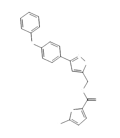 O=C(NCc1cc(-c2ccc(Nc3ccccc3)cc2)no1)c1ccc(Cl)s1